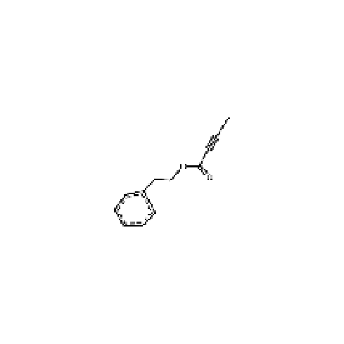 CC#CC(=O)OCCc1ccccc1